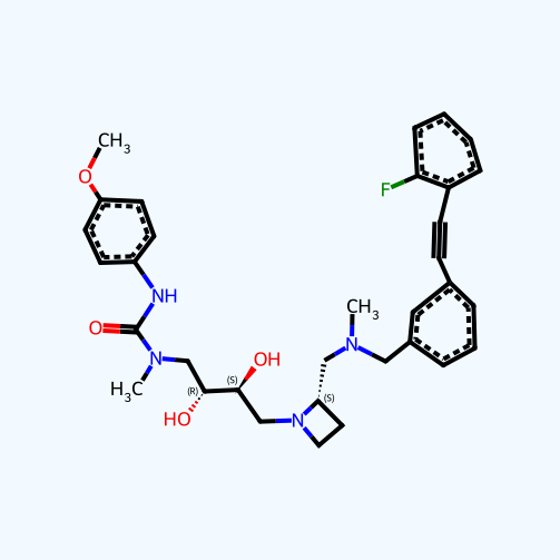 COc1ccc(NC(=O)N(C)C[C@@H](O)[C@@H](O)CN2CC[C@H]2CN(C)Cc2cccc(C#Cc3ccccc3F)c2)cc1